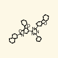 c1ccc(-c2nc(-c3ccc4c(c3)oc3ccccc34)nc(-c3cc4nc(-c5ccc6ccccc6c5)oc4c4c3oc3ccccc34)n2)cc1